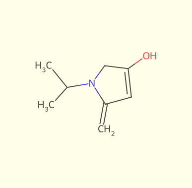 C=C1C=C(O)CN1C(C)C